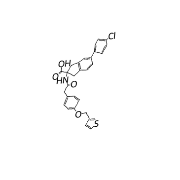 O=C(Cc1ccc(OCc2ccsc2)cc1)NC1(C(=O)O)Cc2ccc(-c3ccc(Cl)cc3)cc2C1